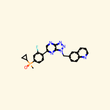 CP(=O)(c1ccc(-c2cnc3nnn(Cc4ccc5ncccc5c4)c3n2)c(F)c1)C1CC1